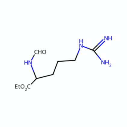 CCOC(=O)C(CCCNC(=N)N)NC=O